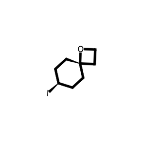 I[C@H]1CC[C@@]2(CCO2)CC1